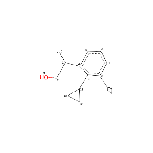 [CH2]C(CO)c1cccc(CC)c1C1CC1